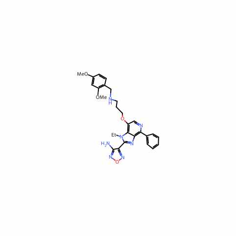 CCn1c(-c2nonc2N)nc2c(-c3ccccc3)ncc(OCCCNCc3ccc(OC)cc3OC)c21